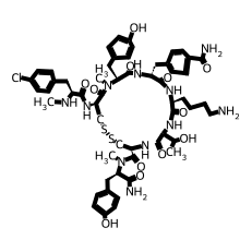 CN[C@@H](Cc1ccc(Cl)cc1)C(=O)N[C@@H]1CSSC[C@@H](C(=O)N(C)[C@H](Cc2ccc(O)cc2)C(N)=O)NC(=O)C(C(C)O)NC(=O)[C@H](CCCCN)NC(=O)[C@@H](Cc2ccc(C(N)=O)cc2)NC(=O)[C@H](Cc2ccc(O)cc2)N(C)C1=O